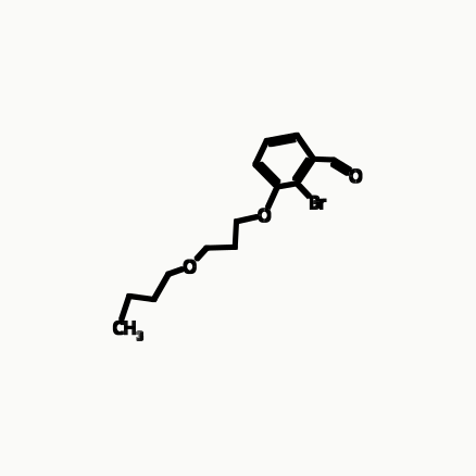 CCCCOCCCOc1cccc(C=O)c1Br